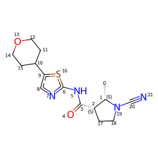 C[C@H]1[C@@H](C(=O)Nc2ncc(C3CCOCC3)s2)CCN1C#N